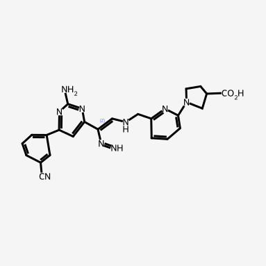 N#Cc1cccc(-c2cc(/C(=C/NCc3cccc(N4CCC(C(=O)O)C4)n3)N=N)nc(N)n2)c1